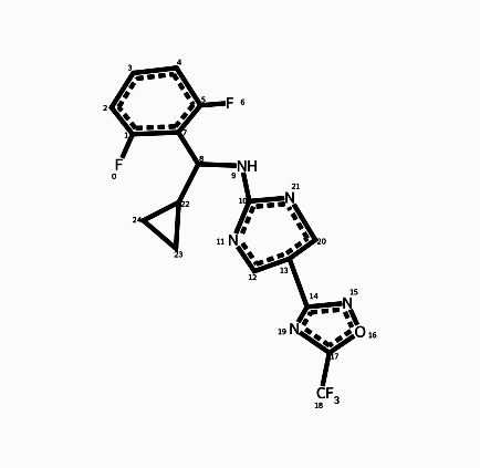 Fc1cccc(F)c1C(Nc1ncc(-c2noc(C(F)(F)F)n2)cn1)C1CC1